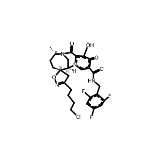 C[C@H]1CC[C@]2(CC(CCCCCl)=NO2)[C@H]2CN1C(=O)c1c(O)c(=O)c(C(=O)NCc3c(F)cc(F)cc3F)cn12